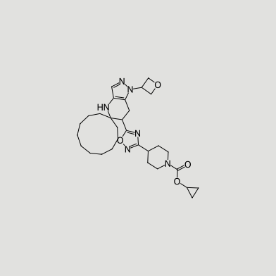 O=C(OC1CC1)N1CCC(c2noc(C3Cc4c(cnn4C4COC4)NC34CCCCCCCCCC4)n2)CC1